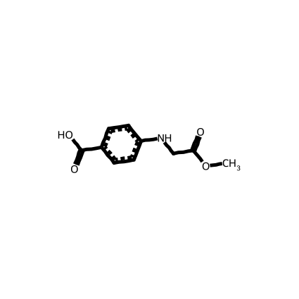 COC(=O)CNc1ccc(C(=O)O)cc1